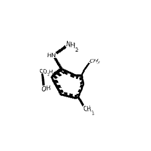 Cc1ccc(NN)c(C)c1.O=C(O)O